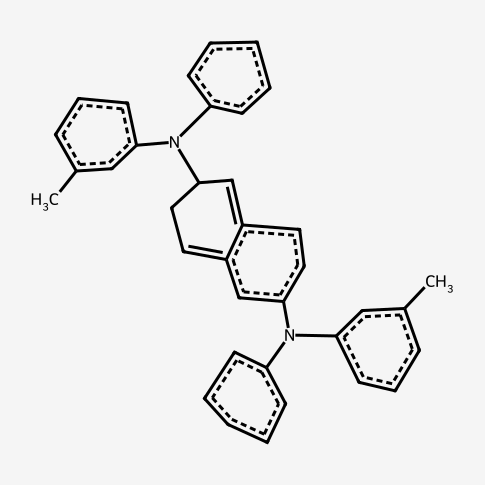 Cc1cccc(N(c2ccccc2)c2ccc3c(c2)=CCC(N(c2ccccc2)c2cccc(C)c2)C=3)c1